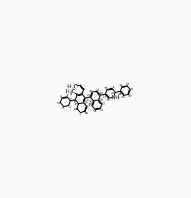 C/C=C\C1=C(C)C(C2C=CCCC2)C2CCC=CC2=C1c1ccc(C2=CNC(c3ccccc3)C=C2)c2ccccc12